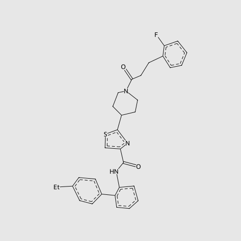 CCc1ccc(-c2ccccc2NC(=O)c2csc(C3CCN(C(=O)CCc4ccccc4F)CC3)n2)cc1